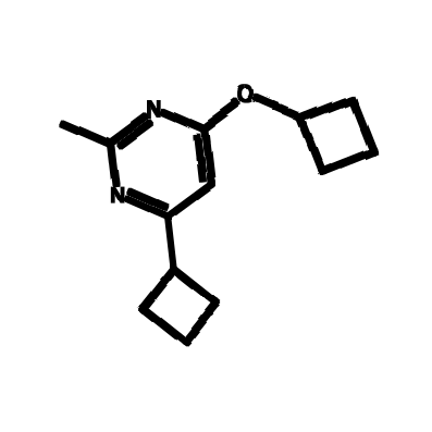 Cc1nc(OC2CCC2)cc(C2CCC2)n1